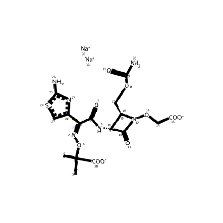 CC(C)(O/N=C(\C(=O)N[C@H]1C(=O)N(OCC(=O)[O-])[C@@H]1COC(N)=O)c1csc(N)n1)C(=O)[O-].[Na+].[Na+]